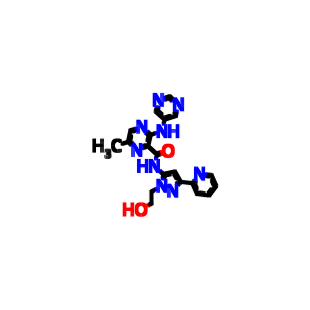 Cc1cnc(Nc2cncnc2)c(C(=O)Nc2cc(-c3ccccn3)nn2CCO)n1